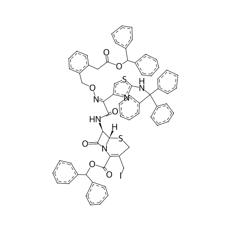 O=C(Cc1ccccc1CON=C(C(=O)N[C@@H]1C(=O)N2C(C(=O)OC(c3ccccc3)c3ccccc3)=C(CI)CS[C@@H]12)c1csc(NC(c2ccccc2)(c2ccccc2)c2ccccc2)n1)OC(c1ccccc1)c1ccccc1